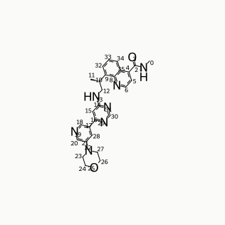 CNC(=O)c1ccnc2c([C@H](C)CNc3cc(-c4cncc(N5CCOCC5)c4)ncn3)cccc12